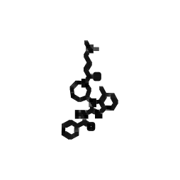 Cc1cccc2nc(NC(=O)c3ccccc3)n(C3CCCCN(C(=O)C=CCN(C)C)C3)c12